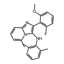 COc1cccc(F)c1-c1nc2cccc(C)n2c1Nc1c(C)cccc1C